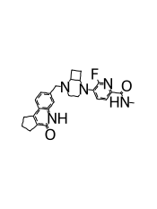 CNC(=O)c1ccc(N2CCN(Cc3ccc4c5c(c(=O)[nH]c4c3)CCC5)C3CCC32)c(F)n1